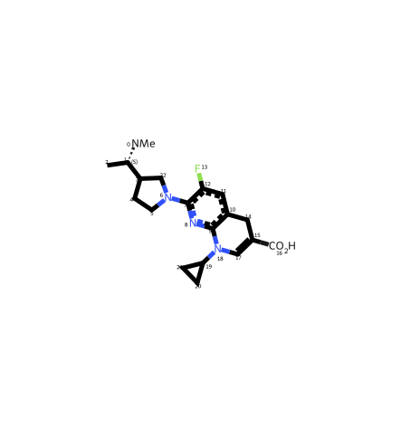 CN[C@@H](C)C1CCN(c2nc3c(cc2F)CC(C(=O)O)=CN3C2CC2)C1